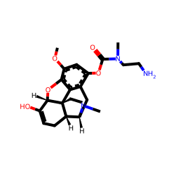 COc1cc(OC(=O)N(C)CCN)c2c3c1O[C@H]1C(O)=CC[C@H]4[C@@H](C2)N(C)CC[C@]314